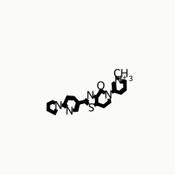 C[n+]1cccc(N2CCC3SC(c4ccc(N5CCCC5)nc4)=NC3C2=O)c1